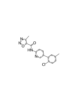 Cc1ccc(Cl)c(-c2ccc(NC(=O)c3onnc3C)nc2)c1